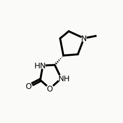 CN1CC[C@@H](C2NOC(=O)N2)C1